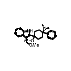 COCc1c(C2(OC)CCC(c3ccccc3)(N(C)C)CC2)[nH]c2ccccc12